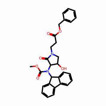 COC(=O)N(C1c2ccccc2-c2ccccc21)C1C(=O)N(CCC(=O)OCc2ccccc2)CC1O